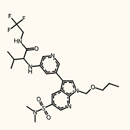 CCCOCn1cc(-c2cncc(NC(C(=O)NCC(F)(F)F)C(C)C)c2)c2cc(S(=O)(=O)N(C)C)cnc21